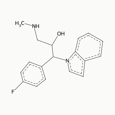 CNCC(O)C(c1ccc(F)cc1)n1ccc2ccccc21